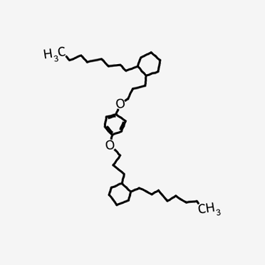 CCCCCCCCC1CCCCC1CCCOc1ccc(OCCCC2CCCCC2CCCCCCCC)cc1